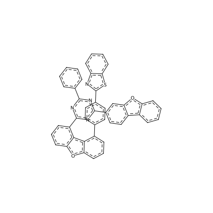 c1ccc(-c2nc(-c3ccc4c(c3)oc3ccccc34)nc(-c3cccc4oc5cccc(-c6ccc(-c7nc8ccccc8s7)cc6)c5c34)n2)cc1